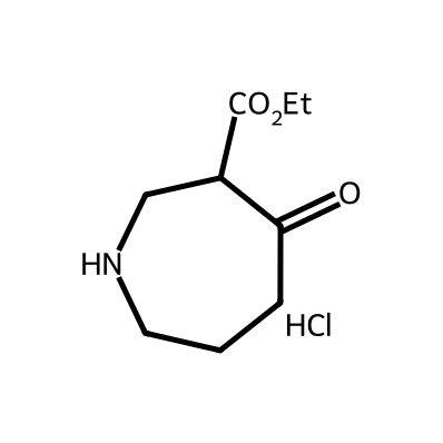 CCOC(=O)C1CNCCCC1=O.Cl